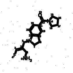 NC/C(=C\F)CN1CCc2cc(C(=O)N3CCCC3)ccc21